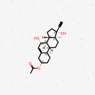 C#C[C@]1(O)CC[C@H]2[C@@H]3[C@@H](O)C=C4C[C@@H](OC(C)=O)CC[C@]4(C)[C@H]3CC[C@@]21C